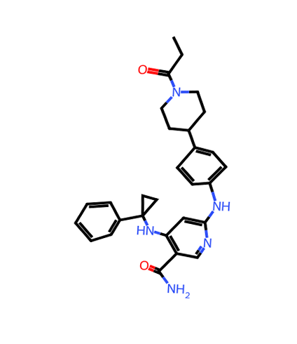 CCC(=O)N1CCC(c2ccc(Nc3cc(NC4(c5ccccc5)CC4)c(C(N)=O)cn3)cc2)CC1